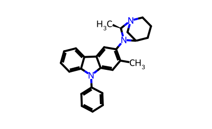 Cc1cc2c(cc1N1C3CCCN(C3)[C@@H]1C)c1ccccc1n2-c1ccccc1